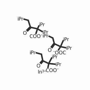 CC(C)CC(=O)C(C(=O)[O-])(C(C)C)C(C)C.CC(C)CC(=O)C(C(=O)[O-])(C(C)C)C(C)C.CC(C)CC(=O)C(C(=O)[O-])(C(C)C)C(C)C.[In+3]